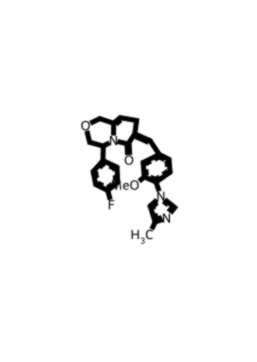 COc1cc(C=C2CC=C3COCC(c4ccc(F)cc4)N3C2=O)ccc1-n1cnc(C)c1